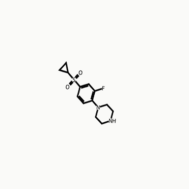 O=S(=O)(c1ccc(N2CCNCC2)c(F)c1)C1CC1